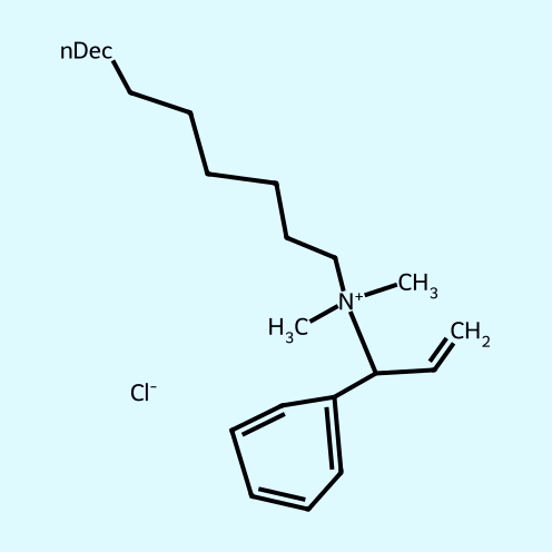 C=CC(c1ccccc1)[N+](C)(C)CCCCCCCCCCCCCCCC.[Cl-]